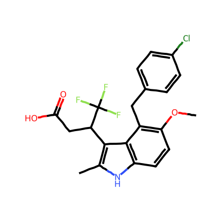 COc1ccc2[nH]c(C)c(C(CC(=O)O)C(F)(F)F)c2c1Cc1ccc(Cl)cc1